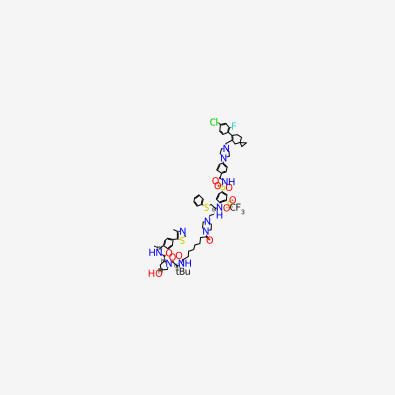 Cc1ncsc1-c1ccc([C@H](C)NC(=O)[C@@H]2C[C@@H](O)CN2C(=O)[C@@H](NC(=O)CCCCCCC(=O)N2CCN(CC[C@H](CSc3ccccc3)Nc3ccc(S(=O)(=O)NC(=O)c4ccc(N5CCN(CC6=C(c7ccc(Cl)cc7F)CCC7(CC7)C6)CC5)cc4)cc3S(=O)(=O)C(F)(F)F)CC2)C(C)(C)C)cc1